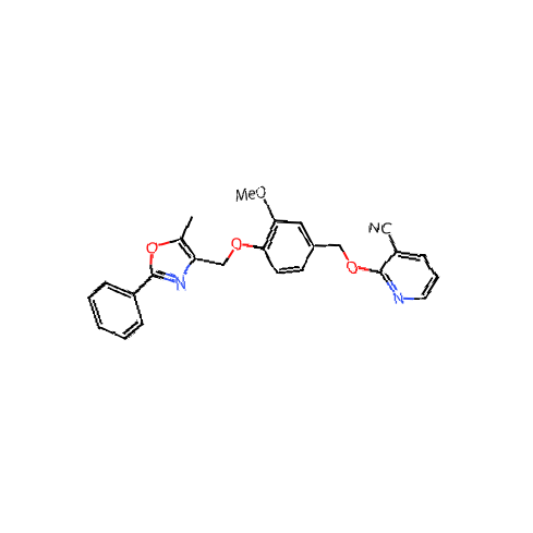 COc1cc(COc2ncccc2C#N)ccc1OCc1nc(-c2ccccc2)oc1C